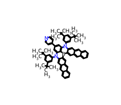 CC(C)(C)c1cc(N2c3cc4cc5ccccc5cc4cc3B3c4cc5cc6ccccc6cc5cc4N(c4cc(C(C)(C)C)cc(C(C)(C)C)c4)c4cc(-c5ccncc5)cc2c43)cc(C(C)(C)C)c1